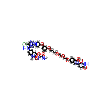 CNC(=O)COc1cc2cc(Nc3nc(N4CCC(Oc5cccc(OCCCCOCCOCCOc6ccc7c(c6)CN(C6CCC(=O)NC6=O)C7=O)c5)CC4)ncc3Cl)ccc2n(C)c1=O